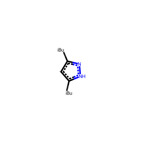 CCC(C)c1[c]c(C(C)CC)[nH]n1